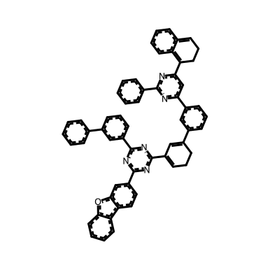 C1=C(c2cccc(-c3cc(C4=c5ccccc5=CCC4)nc(-c4ccccc4)n3)c2)CCC=C1c1nc(-c2cccc(-c3ccccc3)c2)nc(-c2ccc3c(c2)oc2ccccc23)n1